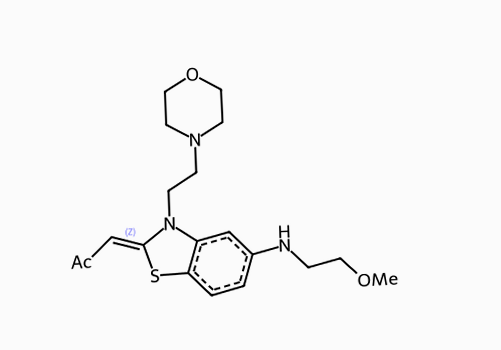 COCCNc1ccc2c(c1)N(CCN1CCOCC1)/C(=C/C(C)=O)S2